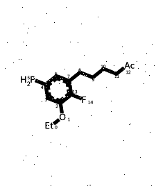 CCOc1cc(P)cc(CCCCC(C)=O)c1F